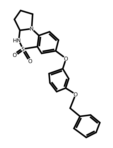 O=S1(=O)NC2CCCN2c2ccc(Oc3cccc(OCc4ccccc4)c3)cc21